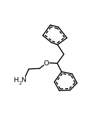 NCCOC(Cc1ccccc1)c1ccccc1